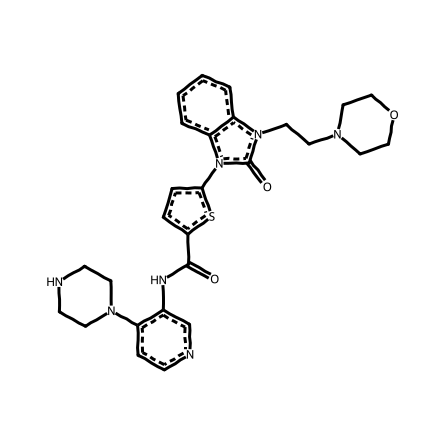 O=C(Nc1cnccc1N1CCNCC1)c1ccc(-n2c(=O)n(CCN3CCOCC3)c3ccccc32)s1